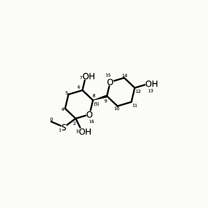 CSC1(O)CCC(O)[C@@H](C2CCC(O)CO2)O1